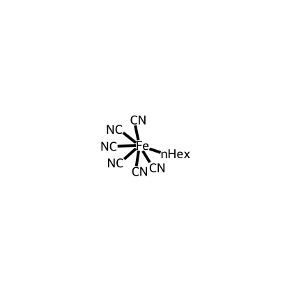 CCCCC[CH2][Fe]([C]#N)([C]#N)([C]#N)([C]#N)([C]#N)[C]#N